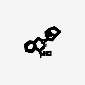 Cl.FC(F)c1ccccc1COC1CC2CCC(C1)N2